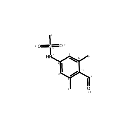 Cc1cc(NS(C)(=O)=O)cc(C)c1C=O